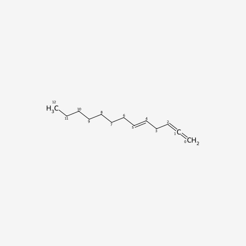 C=C=CCC=CCCCCCCC